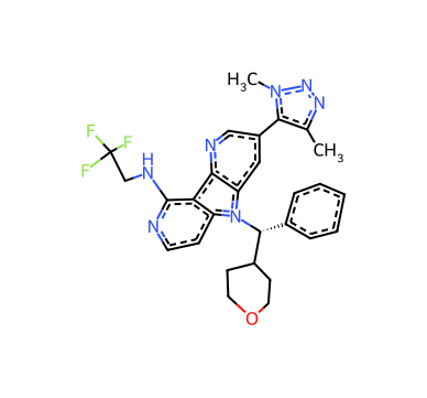 Cc1nnn(C)c1-c1cnc2c3c(NCC(F)(F)F)nccc3n([C@H](c3ccccc3)C3CCOCC3)c2c1